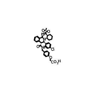 CS(=O)(=O)N[C@H]1CCCC[C@@H]1N1C(=O)c2ccccc2[C@@H](C(=O)NCc2ccc(OCC(=O)O)cc2)[C@@H]1c1ccc(Cl)cc1